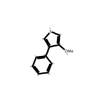 COc1[c]scc1-c1ccccc1